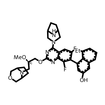 CCc1cccc2cc(O)cc(-c3c(F)cc4c(N5CC6CCC(C5)N6)nc(OC[C@@H](CN5C6CCC5COC6)OC)nc4c3F)c12